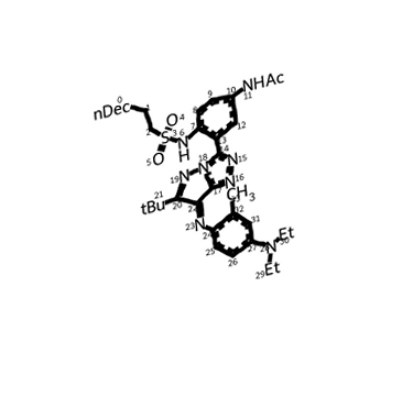 CCCCCCCCCCCCS(=O)(=O)Nc1ccc(NC(C)=O)cc1-c1nnc2n1N=C(C(C)(C)C)/C2=N/c1ccc(N(CC)CC)cc1C